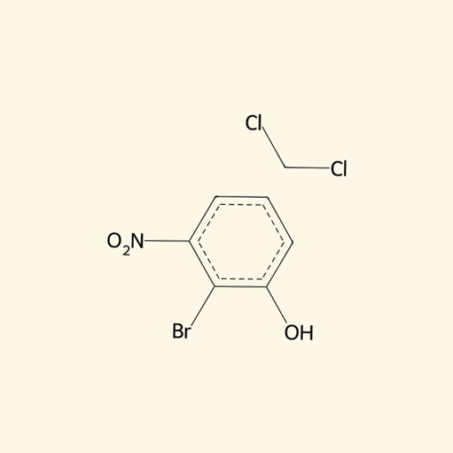 ClCCl.O=[N+]([O-])c1cccc(O)c1Br